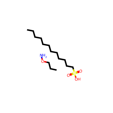 CCCCCCCCCCCCS(=O)(=O)O.CCCON